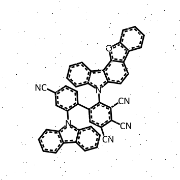 N#Cc1ccc(-c2cc(C#N)c(C#N)c(C#N)c2-n2c3ccccc3c3c4oc5ccccc5c4ccc32)c(-n2c3ccccc3c3ccccc32)c1